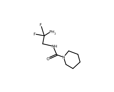 O=C(NCC(F)(F)P)N1CCCCC1